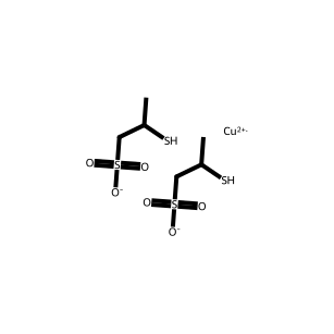 CC(S)CS(=O)(=O)[O-].CC(S)CS(=O)(=O)[O-].[Cu+2]